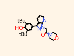 CC(C)(C)c1cc(-c2nn(CC(=O)N3CCOCC3)c3ncccc23)cc(C(C)(C)C)c1O